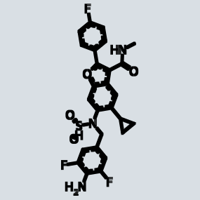 CNC(=O)c1c(-c2ccc(F)cc2)oc2cc(N(Cc3cc(F)c(N)c(F)c3)[SH](=O)=O)c(C3CC3)cc12